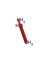 COCCOCCOCCOCCOCCOCCOCCOCCOCCOCCOCCOCCOC(=O)NCCCCCCCCCCCCN